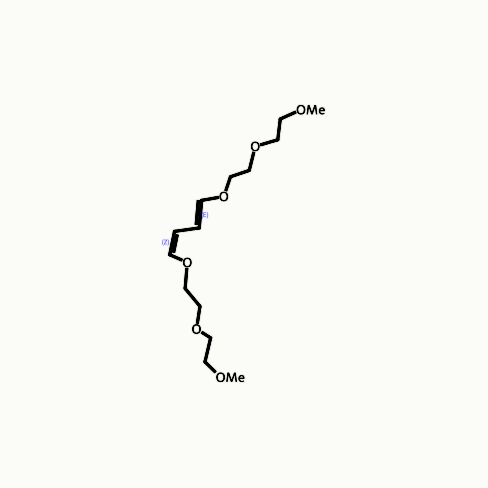 COCCOCCO/C=C\C=C\OCCOCCOC